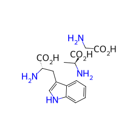 C[C@H](N)C(=O)O.NCC(=O)O.N[C@@H](Cc1c[nH]c2ccccc12)C(=O)O